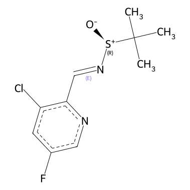 CC(C)(C)[S@+]([O-])/N=C/c1ncc(F)cc1Cl